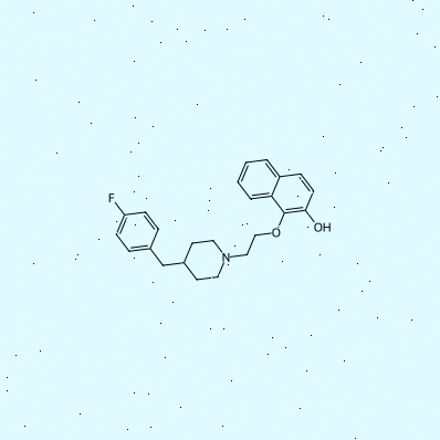 Oc1ccc2ccccc2c1OCCN1CCC(Cc2ccc(F)cc2)CC1